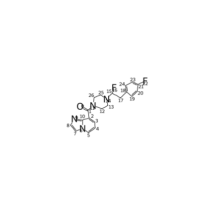 O=C(c1cccn2ccnc12)N1CCN(C(F)Cc2ccc(F)cc2)CC1